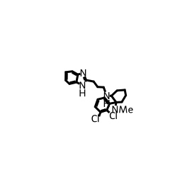 CNC1(c2cccc(Cl)c2Cl)CCCCC1NCCCc1nc2ccccc2[nH]1